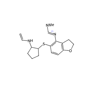 C=CNC1CCCC1Sc1ccc2c(c1/N=C/NC)CCO2